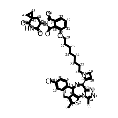 Cc1sc2c(c1C)C(c1ccc(Cl)cc1)=N[C@@H](C1=CCN1CCCCCCCCOc1cccc3c1C(=O)N(C1CC4(CC4)C(=O)NC1=O)C3=O)c1nnc(C)n1-2